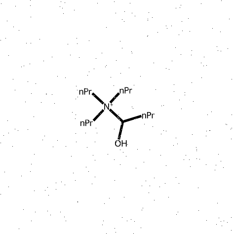 CCCC(O)[N+](CCC)(CCC)CCC